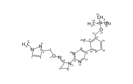 Cn1ccc(CON=C2CCN2c2ncc(-c3cccc(CO[Si](C)(C)C(C)(C)C)c3F)cn2)n1